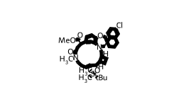 COC(=O)[C@@H]1CC(=O)N(C)CC/C=C/[C@H](O[Si](C)(C)C(C)(C)C)[C@@H]2CC[C@H]2CN2C[C@@]3(CCCc4cc(Cl)ccc43)COc3ccc1cc32